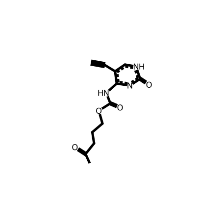 C#Cc1c[nH]c(=O)nc1NC(=O)OCCCC(C)=O